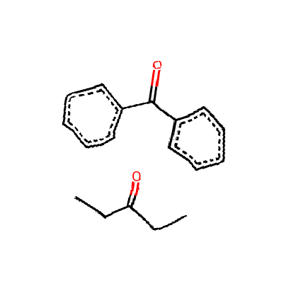 CCC(=O)CC.O=C(c1ccccc1)c1ccccc1